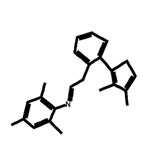 CC1=CCC(c2ccccc2CC=Nc2c(C)cc(C)cc2C)=C1C